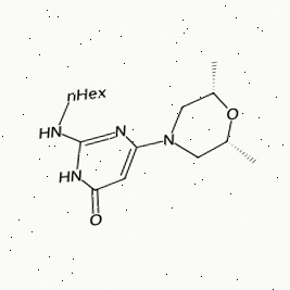 CCCCCCNc1nc(N2C[C@@H](C)O[C@@H](C)C2)cc(=O)[nH]1